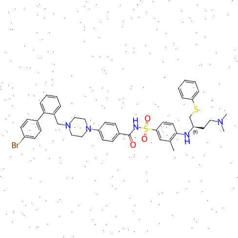 Cc1cc(S(=O)(=O)NC(=O)c2ccc(N3CCN(Cc4ccccc4-c4ccc(Br)cc4)CC3)cc2)ccc1N[C@H](CCN(C)C)CSc1ccccc1